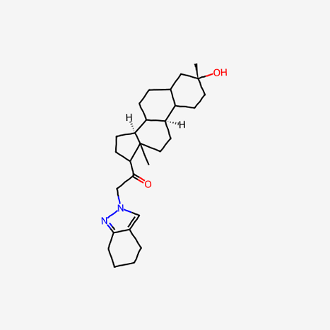 CC12CC[C@@H]3C4CC[C@@](C)(O)CC4CCC3[C@@H]1CCC2C(=O)Cn1cc2c(n1)CCCC2